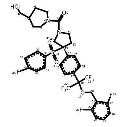 O=C(N1CCC(CO)CC1)N1CC[C@](c2ccc(C(OCc3c(F)cccc3F)(C(F)(F)F)C(F)(F)F)cc2)(S(=O)(=O)c2ccc(F)cc2)C1